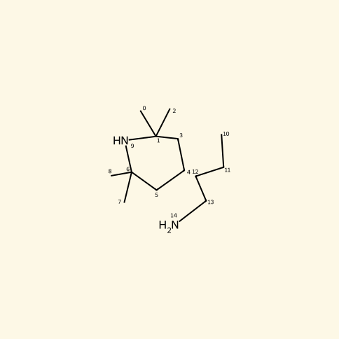 CC1(C)CCCC(C)(C)N1.CCCCN